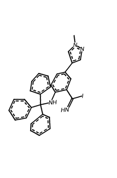 Cn1cc(-c2ccc(NC(c3ccccc3)(c3ccccc3)c3ccccc3)c(C(=N)I)c2)cn1